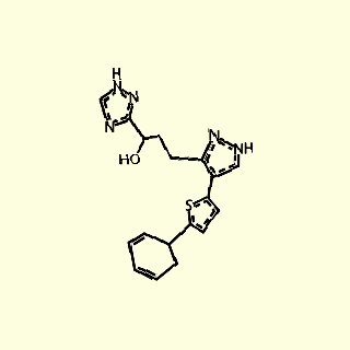 OC(CCc1n[nH]cc1-c1ccc(C2C=CC=CC2)s1)c1nc[nH]n1